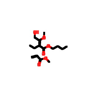 C=CC(=O)OC.CCCCOC(=O)C(CC)=C(CO)OC